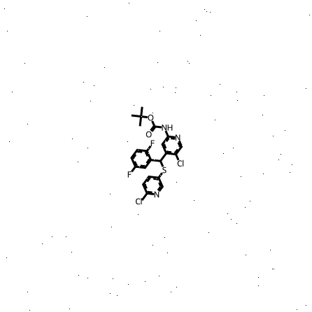 CC(C)(C)OC(=O)Nc1cc(C(Sc2ccc(Cl)nc2)c2cc(F)ccc2F)c(Cl)cn1